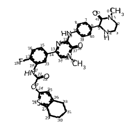 CN1CCNC(c2ccc(Nc3nc(-c4ccc(F)c(NC(=O)Oc5cc6c(s5)CCCC6)c4)cn(C)c3=O)cc2)C1=O